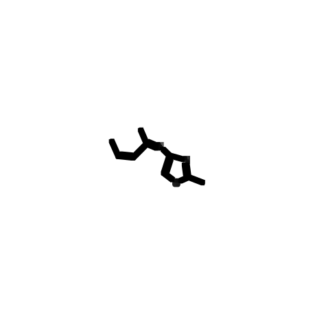 C/C=C\C(C)=N/c1coc(C)n1